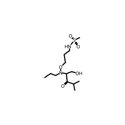 [CH2]CCN(OCCCNS(C)(=O)=O)C(CO)C(=O)C(C)C